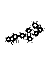 CC1(C)c2ccccc2-c2ccc(-c3ccc(N4c5ccccc5B5c6ccccc6N(c6cccc7oc8ccccc8c67)c6cccc4c65)cc3)cc21